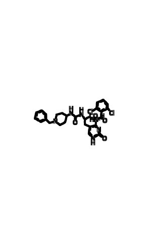 O=C(NC1CCN(Cc2ccccc2)CC1)NC(Cc1c[nH]c(=O)nc1NC(=O)c1c(Cl)cccc1Cl)C(=O)O